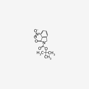 CC(C)(C)OC(=O)N1Cc2cccc([N+](=O)[O-])c2C1=O